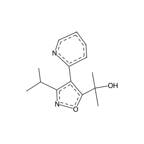 CC(C)c1noc(C(C)(C)O)c1-c1ccccn1